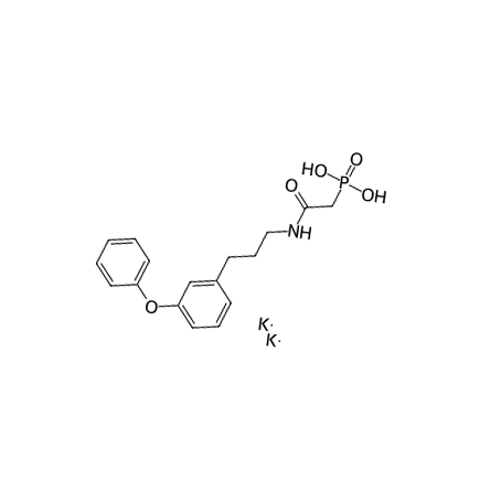 O=C(CP(=O)(O)O)NCCCc1cccc(Oc2ccccc2)c1.[K].[K]